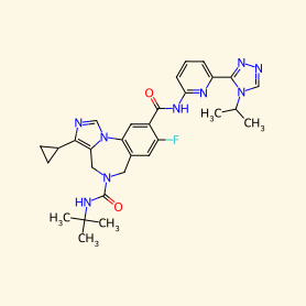 CC(C)n1cnnc1-c1cccc(NC(=O)c2cc3c(cc2F)CN(C(=O)NC(C)(C)C)Cc2c(C4CC4)ncn2-3)n1